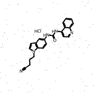 Cl.N#CCCCn1ccc2cc(NC(=O)Nc3ccnc4ccccc34)ccc21